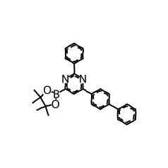 CC1(C)OB(c2cc(-c3ccc(-c4ccccc4)cc3)nc(-c3ccccc3)n2)OC1(C)C